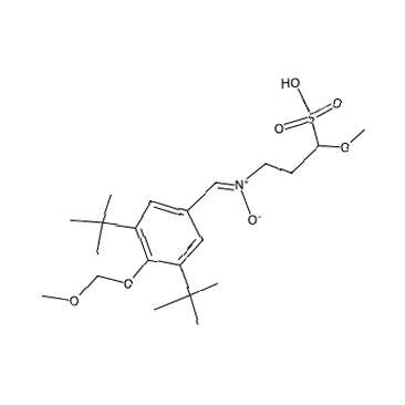 COCOc1c(C(C)(C)C)cc(C=[N+]([O-])CCC(OC)S(=O)(=O)O)cc1C(C)(C)C